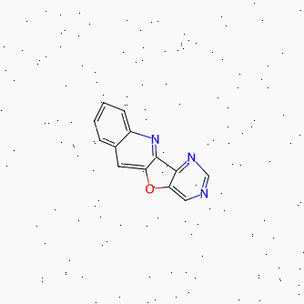 c1ccc2nc3c(cc2c1)oc1cncnc13